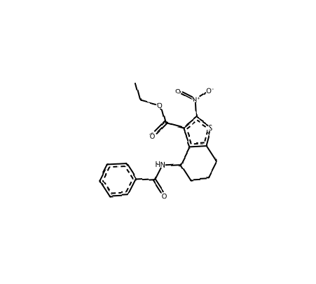 CCOC(=O)c1c([N+](=O)[O-])sc2c1C(NC(=O)c1ccccc1)CCC2